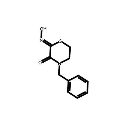 O=C1/C(=N/O)SCCN1Cc1ccccc1